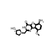 Bc1ccc(OC)c2c1oc1c(=O)[nH]c(CN3CC[C@H](O)C3)nc12